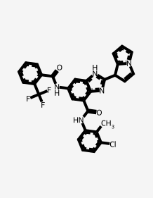 Cc1c(Cl)cccc1NC(=O)c1cc(NC(=O)c2ccccc2C(F)(F)F)cc2[nH]c(C3C=Cn4cccc43)nc12